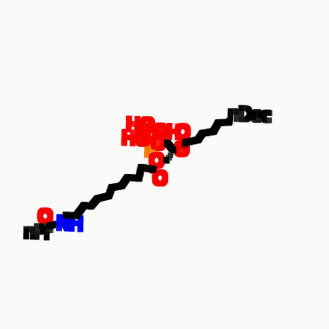 CCCCCCCCCCCCCCCC(=O)O[C@H](COC(=O)CCCCCCCCCCCNC(=O)CCC)CO[PH](O)(O)O